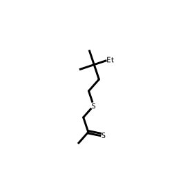 CCC(C)(C)CCSCC(C)=S